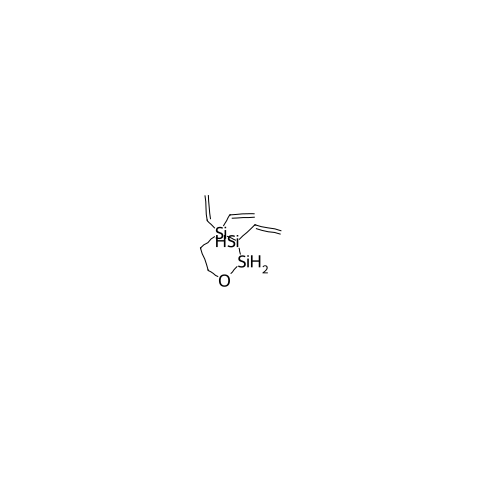 C=C[SiH]1[SiH2]OCC[Si]1(C=C)C=C